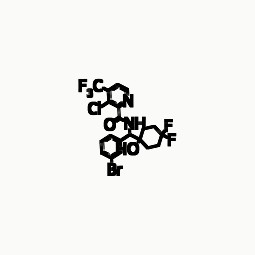 O=C(NC(c1cccc(Br)c1)C1(O)CCC(F)(F)CC1)c1nccc(C(F)(F)F)c1Cl